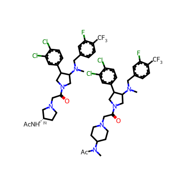 CC(=O)N(C)C1CCN(CC(=O)N2CC(c3ccc(Cl)c(Cl)c3)C(N(C)Cc3ccc(C(F)(F)F)c(F)c3)C2)CC1.CC(=O)N[C@H]1CCN(CC(=O)N2CC(c3ccc(Cl)c(Cl)c3)C(N(C)Cc3ccc(C(F)(F)F)c(F)c3)C2)C1